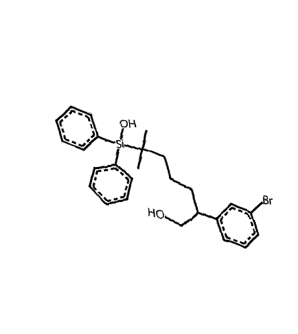 CC(C)(CCCC(CO)c1cccc(Br)c1)[Si](O)(c1ccccc1)c1ccccc1